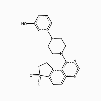 O=S1(=O)CCc2c1ccc1ncnc(N3CCN(c4cccc(O)c4)CC3)c21